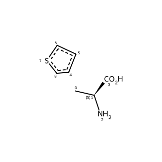 C[C@H](N)C(=O)O.c1ccsc1